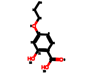 CCCOc1ccc(C(=O)O)c(O)c1